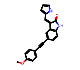 COc1ccc(C#Cc2ccc3c(c2)C(=Cc2ccc[nH]2)C(=O)N3)cc1